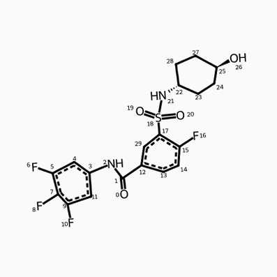 O=C(Nc1cc(F)c(F)c(F)c1)c1ccc(F)c(S(=O)(=O)N[C@H]2CC[C@H](O)CC2)c1